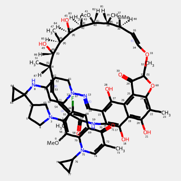 COc1c(N2CCC(C3(NC4CCN(/N=C/c5c6c(O)c7c(O)c(C)c8c(c7c5O)C(=O)[C@@](C)(O/C=C/[C@H](OC)[C@@H](C)[C@@H](OC(C)=O)[C@H](C)[C@H](O)[C@H](C)[C@@H](O)[C@@H](C)/C=C/C=C(/C)C(=O)N6)O8)CC4)CC3)C2)c(F)cc2c(=O)c(C)cn(C3CC3)c12